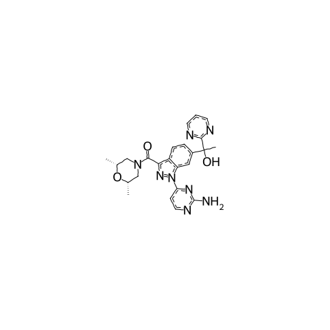 C[C@@H]1CN(C(=O)c2nn(-c3ccnc(N)n3)c3cc(C(C)(O)c4ncccn4)ccc23)C[C@H](C)O1